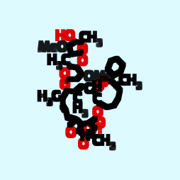 CO[C@H]1C[C@H](O[C@H]2[C@H](C)O[C@@H](O[C@@H]3/C(C)=C/C[C@@H]4CC(CCCC[C@H](C)[C@@H](C5CCCCC5)OO4)OC(=O)C4C=C(C)C(=O)[C@H]5OC/C(=C\C=C\[C@@H]3C)[C@@]45O)C[C@@H]2OC)O[C@@H](C)C1O